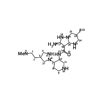 CNCCC1CNN(C2CCNCC2NC(=O)C2C(N)NN3CC(F)CNC23)C1